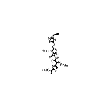 C#CCn1nnc(SCC2=C(C(=O)O)N3C(=O)C(NC(=O)C(=NOC)c4csc(NC=O)n4)[C@@H]3SC2)n1